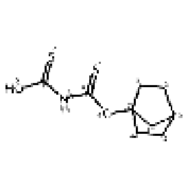 OC(=S)NC(=S)OC12CCC(CC1)C2